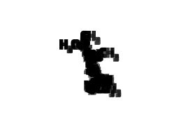 CCCN(CCC)CCCCN(CC(=O)OCC)Cc1ccc(CN(Cc2nccn2C)Cc2nccn2C)cc1